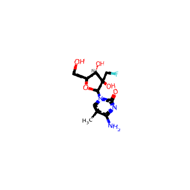 Cc1cn(C2OC(CO)[C@H](O)C2(O)CF)c(=O)nc1N